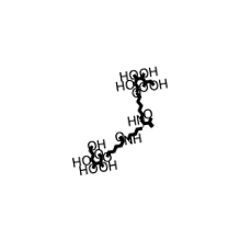 C=C(C)[C@H](CCCCNC(=O)CCCCOC1OC(CO)C(O)C(O)C1O)NC(=O)CCCCOC1OC(CO)C(O)C(O)C1O